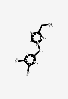 CCc1ncn(Sc2nc(Br)c(Br)s2)n1